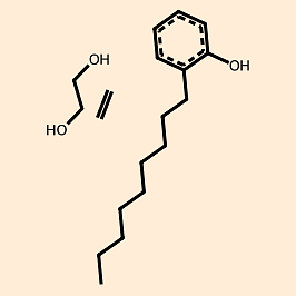 C=C.CCCCCCCCCc1ccccc1O.OCCO